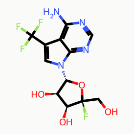 Nc1ncnc2c1c(C(F)(F)F)cn2[C@@H]1O[C@](F)(CO)[C@@H](O)[C@H]1O